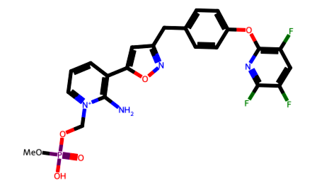 COP(=O)(O)OC[n+]1cccc(-c2cc(Cc3ccc(Oc4nc(F)c(F)cc4F)cc3)no2)c1N